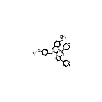 COc1ccc(CN(Cc2ccc(OC)cc2)c2nc(N3CCOCC3)nc3c(-c4ccnnc4)cnn23)cc1